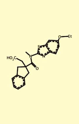 CCOc1ccc2nc(N(C)C(=O)C3(CC(=O)O)Cc4ccccc4C3)sc2c1